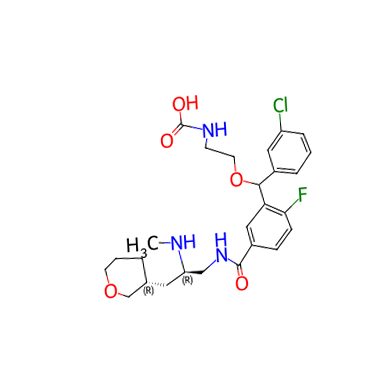 CN[C@@H](CNC(=O)c1ccc(F)c(C(OCCNC(=O)O)c2cccc(Cl)c2)c1)C[C@H]1CCCOC1